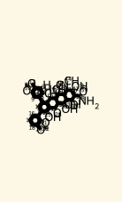 C[C@H]1c2c(-c3ccc4c(c3)OCO4)cc(-c3cccc4c3OCO4)c(O)c2C(=O)C2=C(O)[C@]3(O)C(=O)C(C(N)=O)=C(O)[C@@H](N(C)C)[C@@H]3[C@@H](O)[C@@H]21